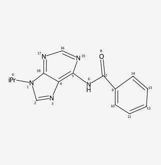 CC(C)n1cnc2c(NC(=O)c3ccccc3)ncnc21